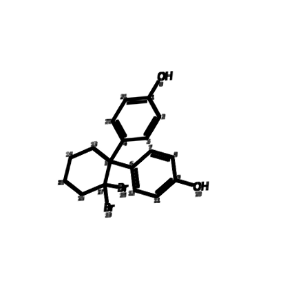 Oc1ccc(C2(c3ccc(O)cc3)CCCCC2(Br)Br)cc1